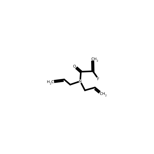 C=CCN(CC=C)C(=O)C(=C)F